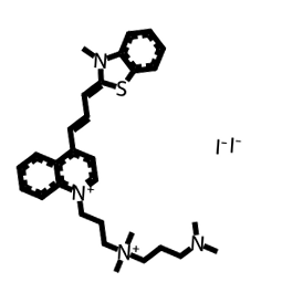 CN(C)CCC[N+](C)(C)CCC[n+]1ccc(C=CC=C2Sc3ccccc3N2C)c2ccccc21.[I-].[I-]